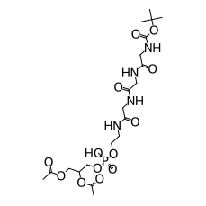 CC(=O)OCC(COP(=O)(O)OCCNC(=O)CNC(=O)CNC(=O)CNC(=O)OC(C)(C)C)OC(C)=O